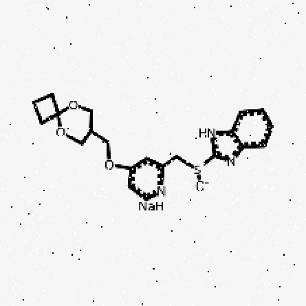 [NaH].[O-][S+](Cc1cc(OCC2COC3(CCC3)OC2)ccn1)c1nc2ccccc2[nH]1